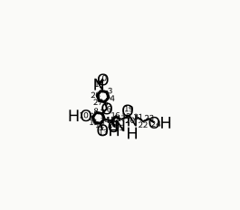 O=Nc1ccc(Oc2cc(O)cc(O)c2-c2cc(C(=O)NCCCO)no2)cc1